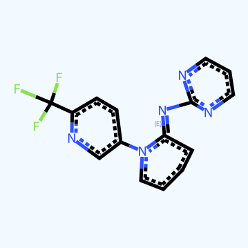 FC(F)(F)c1ccc(-n2cccc/c2=N\c2ncccn2)cn1